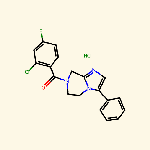 Cl.O=C(c1ccc(F)cc1Cl)N1CCn2c(-c3ccccc3)cnc2C1